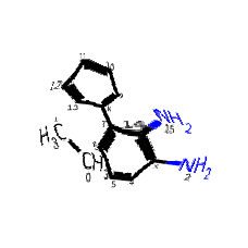 CC.Nc1cccc(-c2ccccc2)c1N